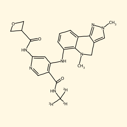 [2H]C([2H])([2H])NC(=O)c1cnc(NC(=O)C2COC2)cc1Nc1cccc2c1N(C)Cc1cn(C)nc1-2